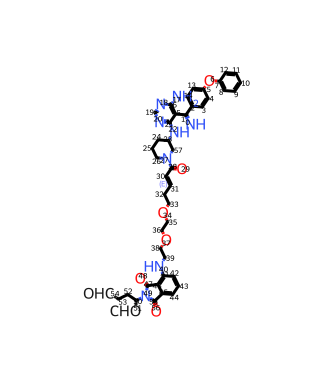 N=C(c1ccc(Oc2ccccc2)cc1)c1c(N)ncnc1NC1CCCN(C(=O)/C=C/CCOCCOCCNc2cccc3c2C(=O)N(C(C=O)CCC=O)C3=O)C1